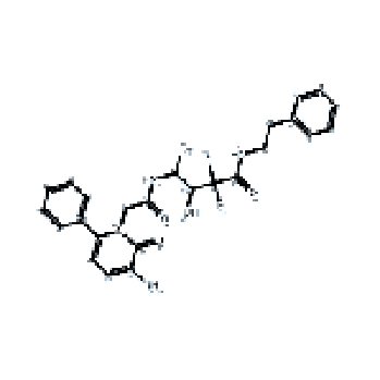 CC(C)C(NC(=O)Cn1c(-c2ccccc2)ccc(N)c1=O)C(O)C(F)(F)C(=O)NCCc1ccccc1